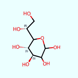 OC[C@@H](O)C1OC(O)C(O)[C@@H](O)[C@@H]1O